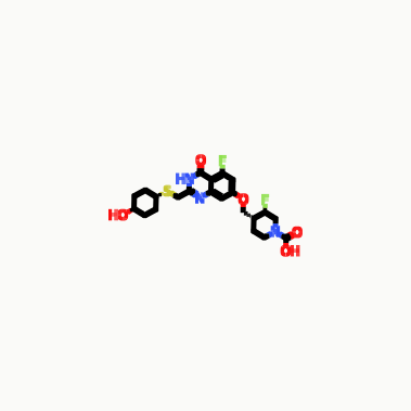 O=C(O)N1CC[C@H](COc2cc(F)c3c(=O)[nH]c(CS[C@H]4CC[C@H](O)CC4)nc3c2)[C@@H](F)C1